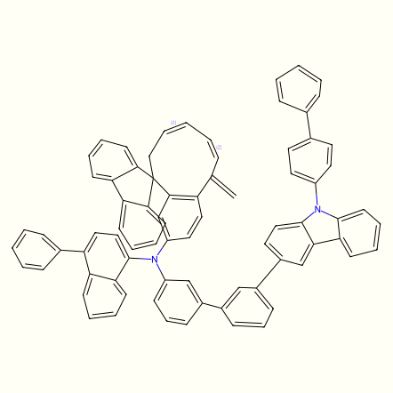 C=C1/C=C\C=C/CC2(c3cc(N(c4cccc(-c5cccc(-c6ccc7c(c6)c6ccccc6n7-c6ccc(-c7ccccc7)cc6)c5)c4)c4ccc(-c5ccccc5)c5ccccc45)ccc31)c1ccccc1-c1ccccc12